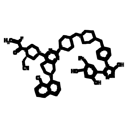 C=C(F)C(=O)N1CCN(c2nc(N3CCC(CN4CCC(Cc5ccc(-n6c(O)nnc6-c6cc(C(C)C)c(O)cc6O)cc5)CC4)CC3)nc3c2CCN(c2cccc4cccc(Cl)c24)C3)C[C@@H]1CC#N